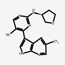 N#Cc1cnc(N[C@H]2CCOC2)nc1-c1c[nH]c2ncc(C(F)(F)F)cc12